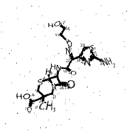 CC1(C(=O)O)CS[C@@H]2C(NC(=O)C(=NOCCO)c3csc(N)n3)C(=O)N2C1